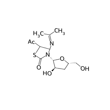 CC(=O)C1SC(=O)N([C@@H]2O[C@H](CO)C[C@H]2O)C1N=C(C)C